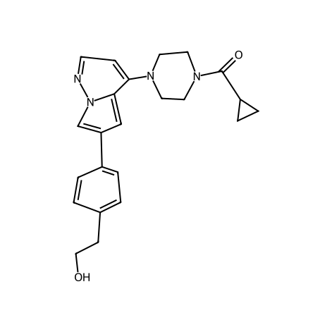 O=C(C1CC1)N1CCN(c2ccnn3cc(-c4ccc(CCO)cc4)cc23)CC1